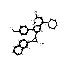 O=C([O-])Cc1ccc(-c2c(C3CC3c3ccc4ccccc4n3)nc3c(N4CCOCC4)cc(Cl)nn23)cc1.[Na+]